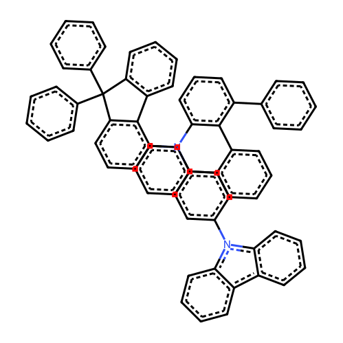 c1ccc(-c2ccccc2-c2c(-c3ccccc3)cccc2N(c2ccc(-n3c4ccccc4c4ccccc43)cc2)c2cccc3c2-c2ccccc2C3(c2ccccc2)c2ccccc2)cc1